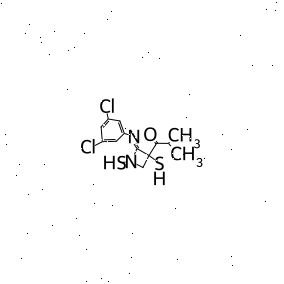 CC(C)C(=O)C1(S)CN(S)C1=Nc1cc(Cl)cc(Cl)c1